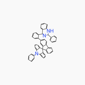 c1ccc(C2N=C(c3ccccc3-c3ccc4c(c3)C3(c5ccccc5-4)c4ccccc4N(c4ccccc4)c4ccccc43)c3ccccc3N2)cc1